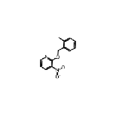 Cc1ccccc1COc1ncccc1[N+](=O)[O-]